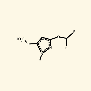 Cn1nc(OC(F)F)cc1OC(=O)O